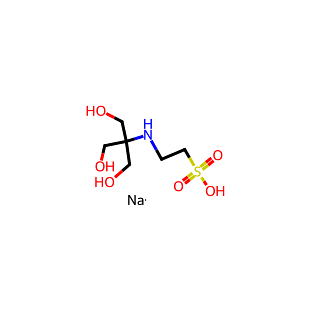 O=S(=O)(O)CCNC(CO)(CO)CO.[Na]